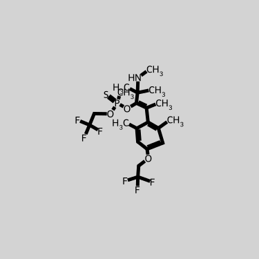 CNC(C)(C)/C(OP(C)(=S)OCC(F)(F)F)=C(\C)c1c(C)cc(OCC(F)(F)F)cc1C